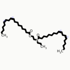 CCCCC/C=C\C/C=C\CCCCCCCC(=O)OCCN(CCC)C(=O)CCCCCCC/C=C\C/C=C\CCCCC